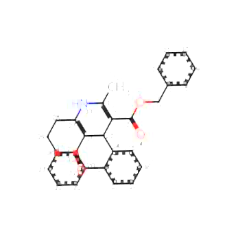 CC1=C(C(=O)OCc2ccccc2)C(c2ccccc2-c2ccccc2)C2=C(CCCC2=O)N1